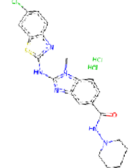 Cl.Cl.Cn1c(Nc2nc3ccc(Cl)cc3s2)nc2cc(C(=O)NN3CCCCC3)ccc21